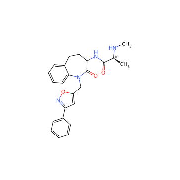 CN[C@@H](C)C(=O)NC1CCc2ccccc2N(Cc2cc(-c3ccccc3)no2)C1=O